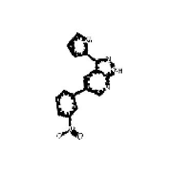 O=[N+]([O-])c1cccc(-c2cnc3[nH]nc(-c4ccc[nH]4)c3c2)c1